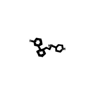 Fc1cccc(-c2ccccc2CCNC2CCNCC2)c1